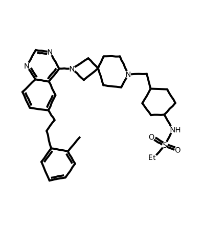 CCS(=O)(=O)NC1CCC(CN2CCC3(CC2)CN(c2ncnc4ccc(CCc5ccccc5C)cc24)C3)CC1